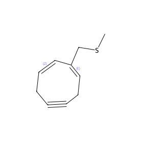 CSCC1=C/CC#CC/C=C\1